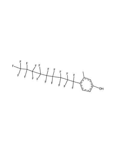 Cc1cc(O)ccc1C(F)(F)C(F)(F)C(F)(F)C(F)(F)C(F)(F)C(F)(F)C(F)(F)C(F)(F)C(F)(F)F